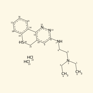 CCN(CC)CCNc1cc2c(nn1)-c1ccccc1[SH]C2.Cl.Cl